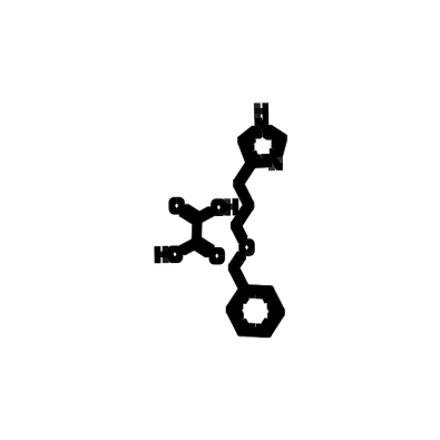 O=C(O)C(=O)O.c1ccc(COCCCc2c[nH]cn2)cc1